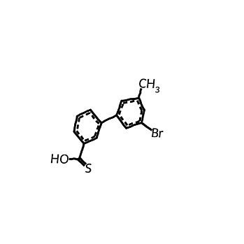 Cc1cc(Br)cc(-c2cccc(C(O)=S)c2)c1